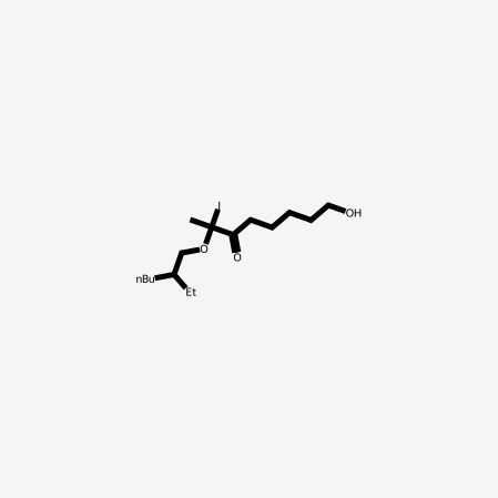 CCCCC(CC)COC(C)(I)C(=O)CCCCCO